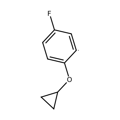 Fc1c[c]c(OC2CC2)cc1